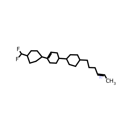 C/C=C/CCCC1CCC(C2CC=C(C3CCC(C(F)F)CC3)CC2)CC1